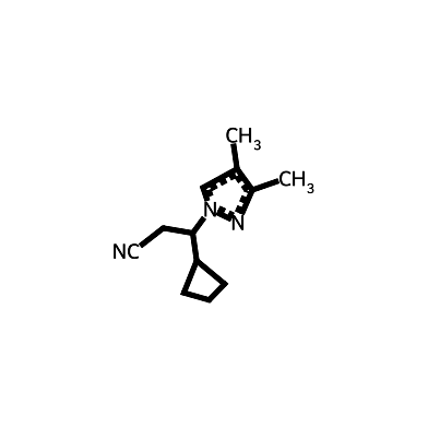 Cc1cn(C(CC#N)C2CCC2)nc1C